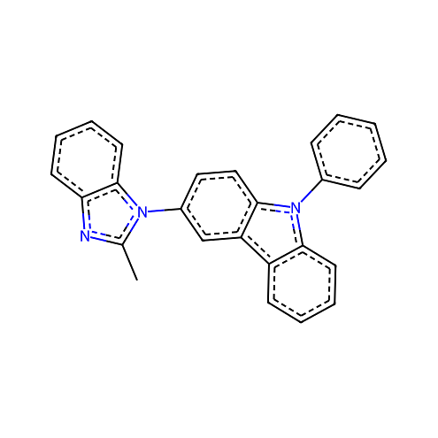 Cc1nc2ccccc2n1-c1ccc2c(c1)c1ccccc1n2-c1ccccc1